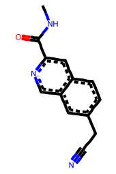 CNC(=O)c1cc2ccc(CC#N)cc2cn1